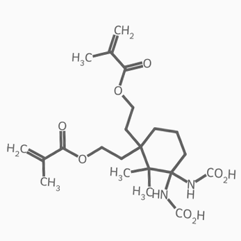 C=C(C)C(=O)OCCC1(CCOC(=O)C(=C)C)CCCC(NC(=O)O)(NC(=O)O)C1(C)C